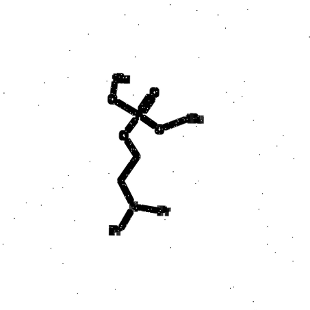 CC(C)N(CCOP(=O)(OC(C)(C)C)OC(C)(C)C)C(C)C